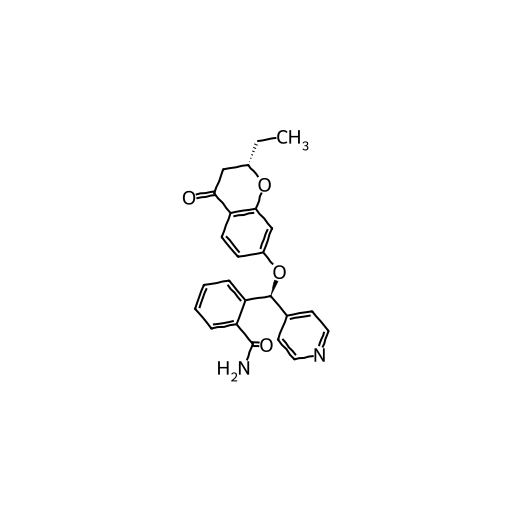 CC[C@H]1CC(=O)c2ccc(O[C@@H](c3ccncc3)c3ccccc3C(N)=O)cc2O1